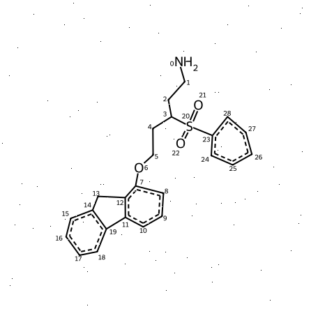 NCCC(CCOc1cccc2c1Cc1ccccc1-2)S(=O)(=O)c1ccccc1